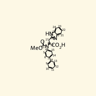 COC(=O)N(c1ccc(-c2ccccc2)cc1)[C@H](Cc1nc2ccccc2[nH]1)C(=O)O